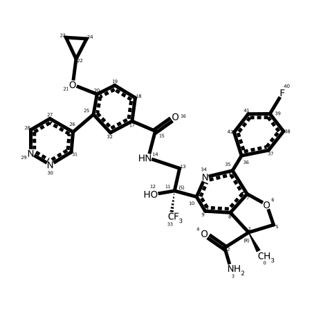 C[C@]1(C(N)=O)COc2c1cc([C@@](O)(CNC(=O)c1ccc(OC3CC3)c(-c3ccnnc3)c1)C(F)(F)F)nc2-c1ccc(F)cc1